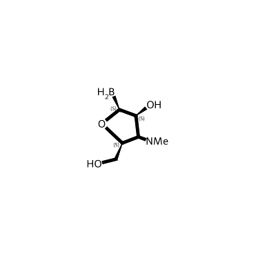 B[C@@H]1O[C@H](CO)C(NC)[C@@H]1O